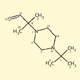 CC(C)(C)N1CCN(C(C)(C)C=O)CC1